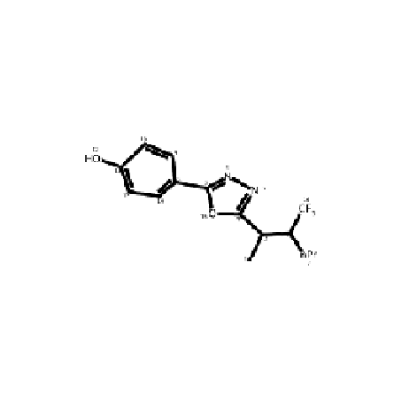 CCCC(C(C)c1nnc(-c2ccc(O)cc2)o1)C(F)(F)F